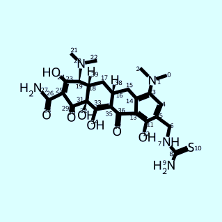 CN(C)c1cc(CNC(N)=S)c(O)c2c1C[C@H]1C[C@H]3[C@H](N(C)C)C(O)=C(C(N)=O)C(=O)[C@@]3(O)C(O)=C1C2=O